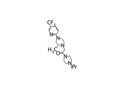 CC(C)N1CCN(C(=O)CN2CCN(c3ccc(C(F)(F)F)cn3)CC2C)CC1